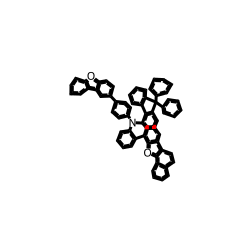 c1ccc(C2(c3ccccc3)c3ccccc3-c3c(N(c4ccc(-c5ccc6oc7ccccc7c6c5)cc4)c4ccccc4-c4cccc5c4oc4c6ccccc6ccc54)cccc32)cc1